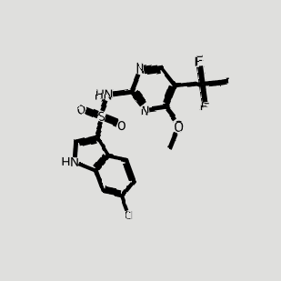 COc1nc(NS(=O)(=O)c2c[nH]c3cc(Cl)ccc23)ncc1C(C)(F)F